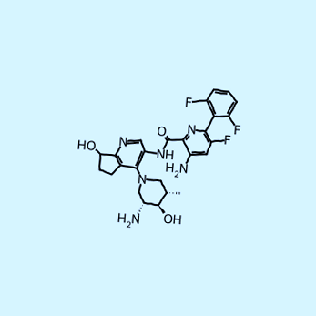 C[C@H]1CN(c2c(NC(=O)c3nc(-c4c(F)cccc4F)c(F)cc3N)cnc3c2CCC3O)C[C@@H](N)[C@@H]1O